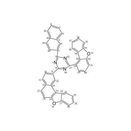 c1ccc2cc(-c3nc(-c4ccc5ccc6oc7ccccc7c6c5c4)nc(-c4cccc5oc6ccccc6c45)n3)ccc2c1